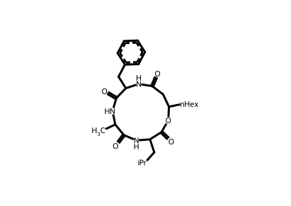 CCCCCCC1CC(=O)NC(Cc2ccccc2)C(=O)NC(C)C(=O)NC(CC(C)C)C(=O)O1